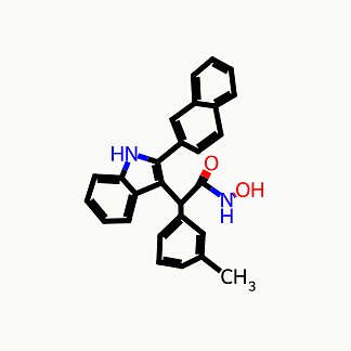 Cc1cccc(C(C(=O)NO)c2c(-c3ccc4ccccc4c3)[nH]c3ccccc23)c1